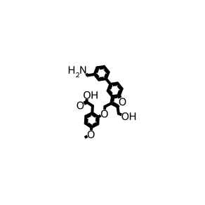 COc1ccc(CC(=O)O)c(OCc2c(CO)oc3ccc(-c4cccc(CN)c4)cc23)c1